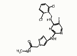 CNC(=O)Cn1cc(Nc2ncc(F)c(NCc3c(Cl)cccc3Cl)n2)cn1